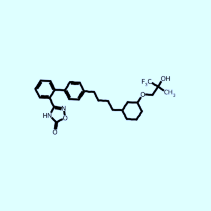 CC(O)(CO[C]1CCCC(CCCCc2ccc(-c3ccccc3-c3noc(=O)[nH]3)cc2)C1)C(F)(F)F